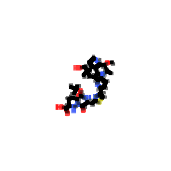 CCn1c(-c2cccnc2[C@H](C)OC)c(CC(C)(C)CO)c2nc(-c3csc(C[C@H](NC(=O)OC(C)(C)C)C(=O)N4CCCC(C(=O)O)N4)n3)ccc21